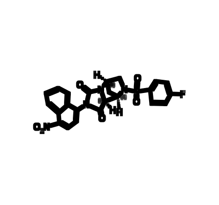 O=C1[C@@H]2[C@H]3C[C@H](CN3S(=O)(=O)c3ccc(F)cc3)N2C(=O)N1c1ccc([N+](=O)[O-])c2ccccc12